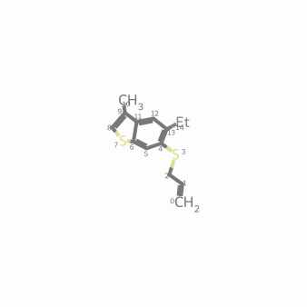 C=CCSc1cc2scc(C)c2cc1CC